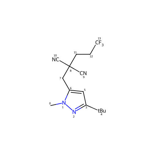 Cn1nc(C(C)(C)C)cc1CC(C#N)(C#N)CCC(F)(F)F